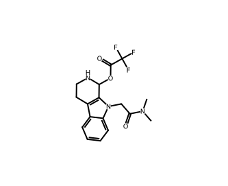 CN(C)C(=O)Cn1c2c(c3ccccc31)CCNC2OC(=O)C(F)(F)F